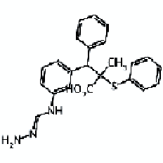 CC(Sc1ccccc1)(C(=O)O)C(c1ccccc1)c1cccc(NC=NN)c1